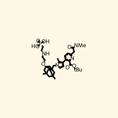 CNC(=O)Cc1ccc(-c2ccn(CC34CC5(C)CC(C)(C3)CC(OCCNCCP(=O)(O)O)(C5)C4)c2C)c(C(=O)OC(C)(C)C)n1